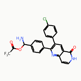 NC(OC(=O)C(F)(F)F)c1ccc(-c2nc3cc[nH]c(=O)c3cc2-c2ccc(Cl)cc2)cc1